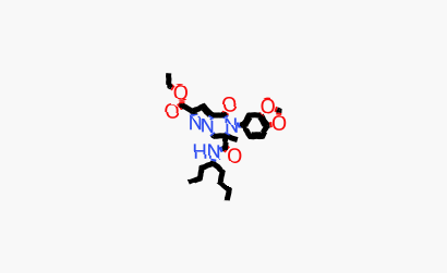 CCCCC(CCC)NC(=O)C1(C)Cn2nc(C(=O)OCC)cc2C(=O)N1c1ccc2c(c1)OCO2